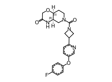 O=C1CO[C@H]2CCN(C(=O)N3CC(c4ccc(Oc5ccc(F)cc5)cn4)C3)C[C@H]2N1